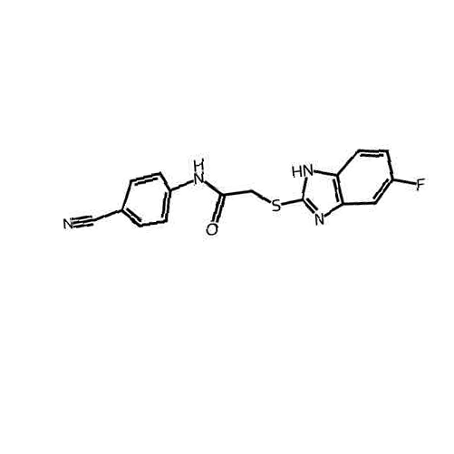 N#Cc1ccc(NC(=O)CSc2nc3cc(F)ccc3[nH]2)cc1